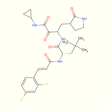 CC(C)(C)C[C@H](NC(=O)/C=C/c1ccc(F)cc1F)C(=O)NC(CC1CCNC1=O)C(=O)C(=O)NC1CC1